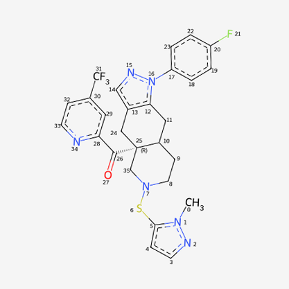 Cn1nccc1SN1CCC2Cc3c(cnn3-c3ccc(F)cc3)C[C@]2(C(=O)c2cc(C(F)(F)F)ccn2)C1